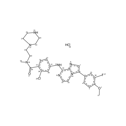 COc1ccc(-c2cnc3c(Nc4ccc(C(=O)N(C)CCN5CCNCC5)c(Cl)c4)nccn23)cc1F.Cl